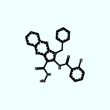 CCCCNC(=O)c1c(NC(=O)c2ccccc2Cl)n(Cc2ccccc2)c2nc3ccccc3nc12